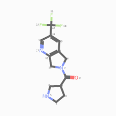 O=C(C1CCNC1)N1Cc2cc(C(F)(F)F)cnc2C1